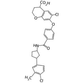 Cc1cc(C2CCC(NC(=O)c3ccc(Oc4cc5c(cc4Cl)C(C(=O)O)CCO5)cc3)C2)ccc1Cl